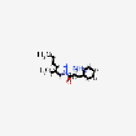 CCCCC(CC)CNC(=O)[C@H](N)CC1CCCCC1